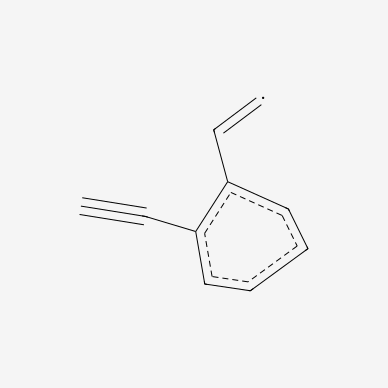 [CH]=Cc1ccccc1C#C